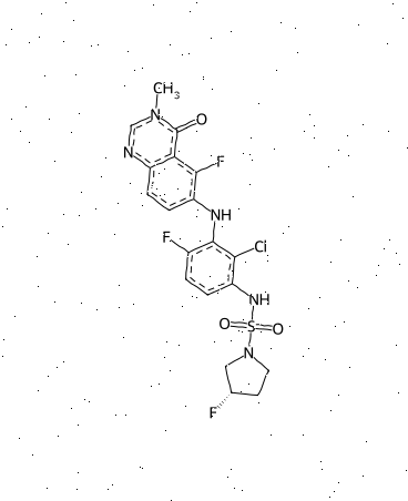 Cn1cnc2ccc(Nc3c(F)ccc(NS(=O)(=O)N4CC[C@H](F)C4)c3Cl)c(F)c2c1=O